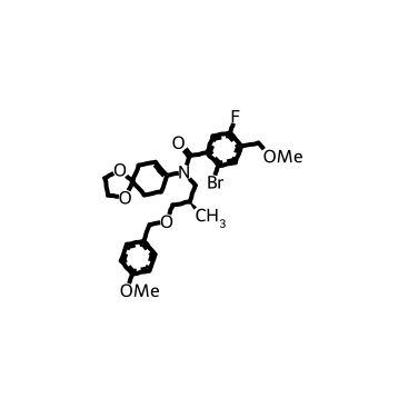 COCc1cc(Br)c(C(=O)N(C[C@@H](C)COCc2ccc(OC)cc2)C2=CCC3(CC2)OCCO3)cc1F